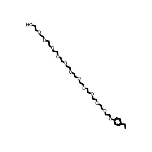 CCc1ccc(OCCOCCOCCOCCOCCOCCOCCOCCOCCOCCOCCOCCO)cc1